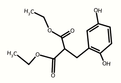 CCOC(=O)C(Cc1cc(O)ccc1O)C(=O)OCC